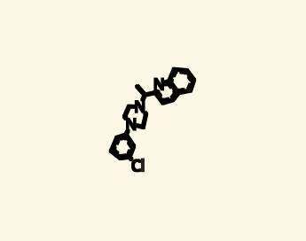 CC(c1ccc2ccccc2n1)N1CCN(c2cccc(Cl)c2)CC1